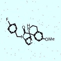 COc1ccc2c(c1)CCNC21C(=O)N(Cc2ccc(F)cc2)c2ccccc21